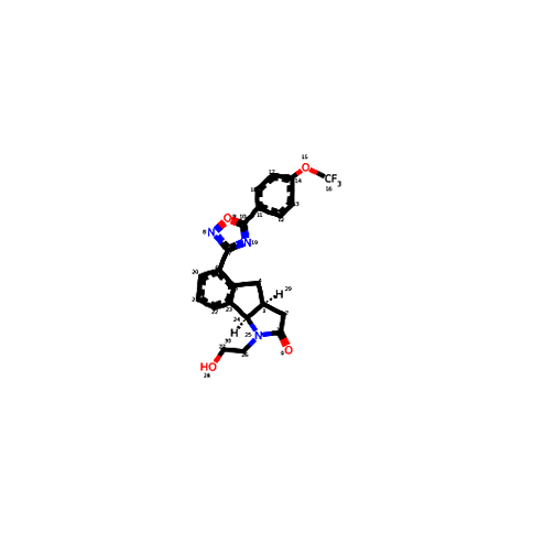 O=C1C[C@@H]2Cc3c(-c4noc(-c5ccc(OC(F)(F)F)cc5)n4)cccc3[C@@H]2N1CCO